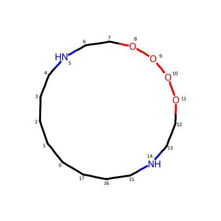 C1CCCCNCCOOOOCCNCCC1